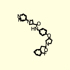 O=C(Nc1ccc(O[C@@H]2CCN(C(=O)Cc3ccccc3F)C2)cc1)C1CN(c2ccnnc2)C1